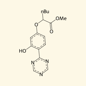 CCCCC(Oc1ccc(-c2ncncn2)c(O)c1)C(=O)OC